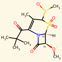 CO[C@H]1C(=O)N2C(C(=O)C(C)(C)C)=C(C)C([S+](C)[O-])S(=O)(=O)[C@@H]12